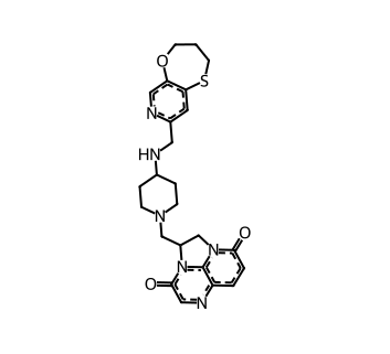 O=c1ccc2ncc(=O)n3c2n1CC3CN1CCC(NCc2cc3c(cn2)OCCCS3)CC1